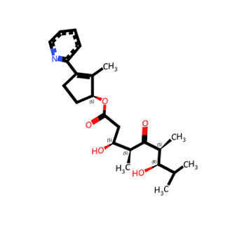 CC1=C(c2ccccn2)CC[C@@H]1OC(=O)C[C@H](O)[C@H](C)C(=O)[C@@H](C)[C@H](O)C(C)C